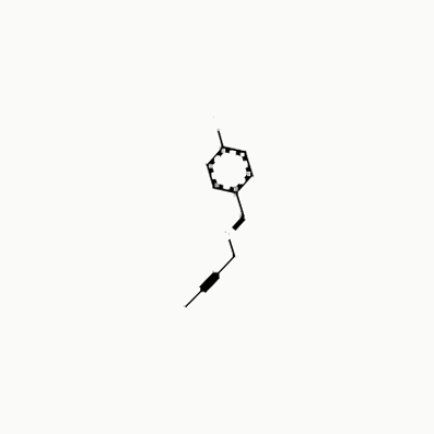 CC#CC/N=C/c1ccc(Cl)cc1